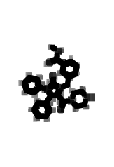 COC(=O)c1cccc(Cn2c(C(=O)N3CCNCC3)c(-c3ccccc3)n(-c3ccccc3)c2=O)c1